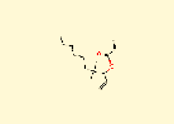 C=CC(=O)OC(C=C)C(C)(C)CCCCCC